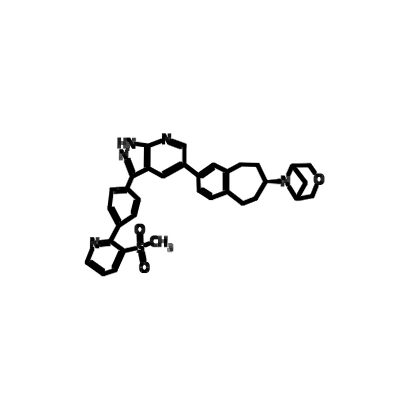 CS(=O)(=O)c1cccnc1-c1ccc(-c2n[nH]c3ncc(-c4ccc5c(c4)CC[C@@H](N4C6COCC4C6)CC5)cc23)cc1